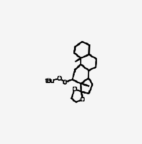 CC(C)(C)OOC1CC2C(CCC3CCCCC32C)C2CCC3(OCCO3)C12C